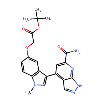 Cn1cc(-c2cc(C(N)=O)nc3[nH]ncc23)c2cc(OCC(=O)OC(C)(C)C)ccc21